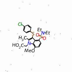 CCN(CC)S(=O)(=O)c1ccc(OC)c2c1c(Sc1ccc(Cl)cc1)c(C)n2CC(=O)O